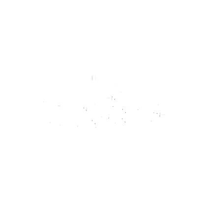 Cl.O=c1cc(C2CCNCC2)n2ncc(-c3nc(Cc4ccc(Cl)cc4)no3)c2[nH]1